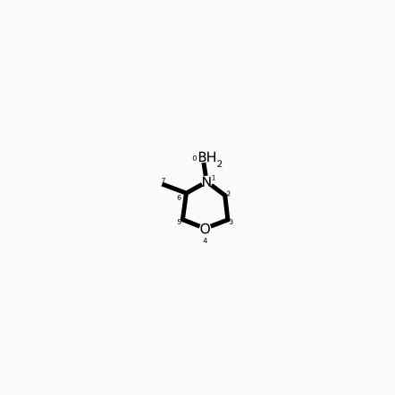 BN1CCOCC1C